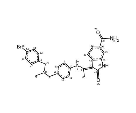 CC(Nc1ccc(CN(C)Cc2ccc(Br)cc2)cc1)=C1C(=O)Nc2cc(C(N)=O)ccc21